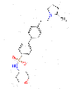 CC1CCCN1CCc1ccc(-c2ccc(S(=O)(=O)NC3CCOCC3)cc2)cc1